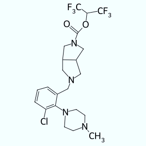 CN1CCN(c2c(Cl)cccc2CN2CC3CN(C(=O)OC(C(F)(F)F)C(F)(F)F)CC3C2)CC1